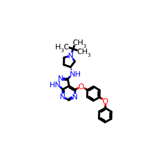 CC(C)(C)N1CC[C@@H](Nc2n[nH]c3ncnc(Oc4ccc(Oc5ccccc5)cc4)c23)C1